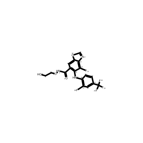 O=C(NOCCO)c1cc2ocnc2c(F)c1Nc1ccc(C(F)(F)F)cc1F